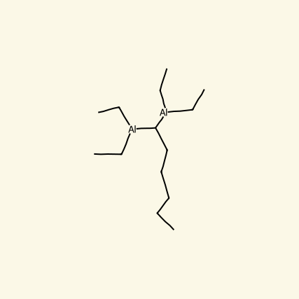 CCCCC[CH]([Al]([CH2]C)[CH2]C)[Al]([CH2]C)[CH2]C